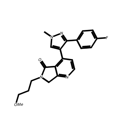 COCCCN1Cc2nccc(-c3cn(C)nc3-c3ccc(F)cc3)c2C1=O